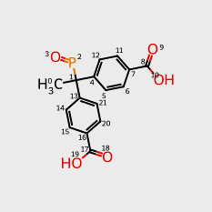 CC(P=O)(c1ccc(C(=O)O)cc1)c1ccc(C(=O)O)cc1